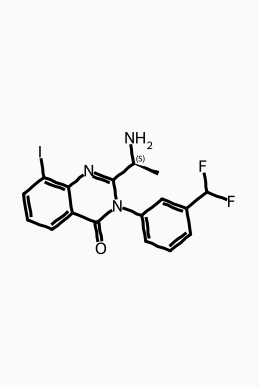 C[C@H](N)c1nc2c(I)cccc2c(=O)n1-c1cccc(C(F)F)c1